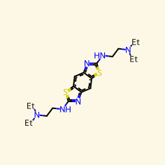 CCN(CC)CCNc1nc2cc3sc(NCCN(CC)CC)nc3cc2s1